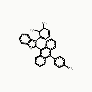 Cc1ccc(-c2c3ccccc3c(-c3nc4ccccc4n3C3=CC=CC(C)C3C)c3ccccc23)cc1